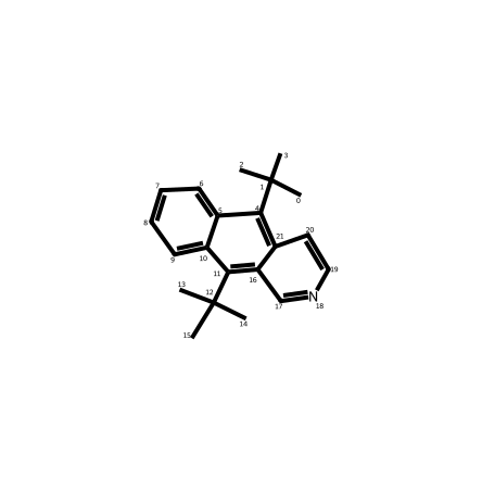 CC(C)(C)c1c2ccccc2c(C(C)(C)C)c2cnccc12